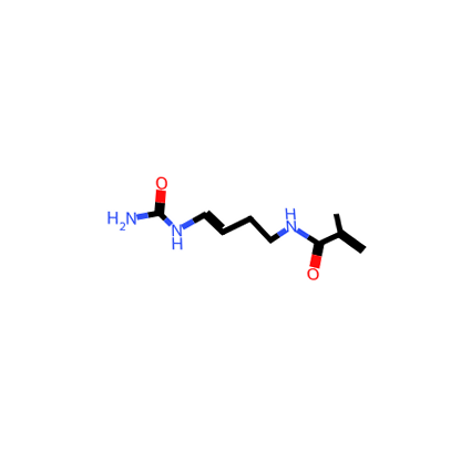 C=C(C)C(=O)NCCC=CNC(N)=O